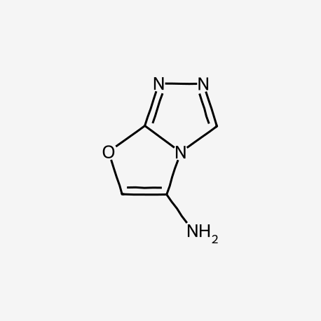 Nc1coc2nncn12